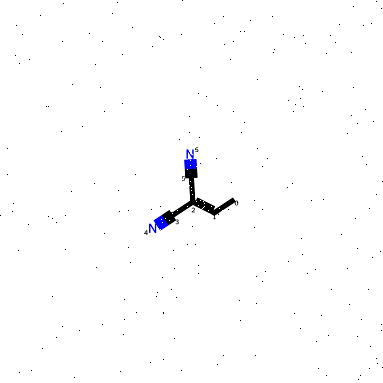 C[C]=C(C#N)C#N